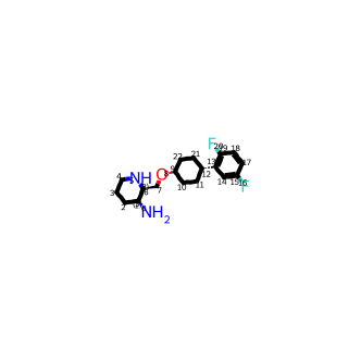 N[C@H]1CCCN[C@H]1CO[C@H]1CC[C@@H](c2cc(F)ccc2F)CC1